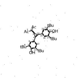 CC(=O)C(C(C)=O)=C1C(c2cc(C(C)(C)C)c(O)c(C(C)(C)C)c2)=C1c1cc(C(C)(C)C)c(O)c(C(C)(C)C)c1